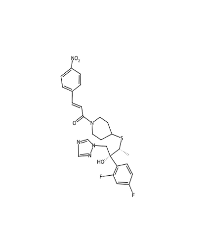 C[C@@H](SC1CCN(C(=O)/C=C/c2ccc([N+](=O)[O-])cc2)CC1)[C@](O)(Cn1cncn1)c1ccc(F)cc1F